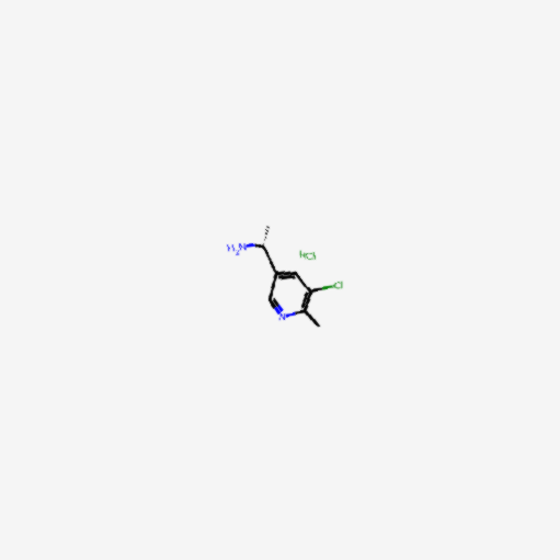 Cc1ncc([C@@H](C)N)cc1Cl.Cl